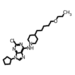 CCCOCCCCCC1CCN(Nc2nc(Cl)nc3c2ncn3C2CCCC2)CC1